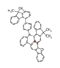 CC1(C)c2ccccc2-c2c(-c3ccc(N(c4ccccc4-c4ccc5oc6ccccc6c5c4)c4cccc5c4-c4ccccc4C5(C)C)cc3)cccc21